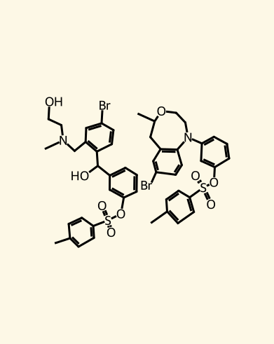 Cc1ccc(S(=O)(=O)Oc2cccc(C(O)c3ccc(Br)cc3CN(C)CCO)c2)cc1.Cc1ccc(S(=O)(=O)Oc2cccc(N3CCOC(C)Cc4cc(Br)ccc43)c2)cc1